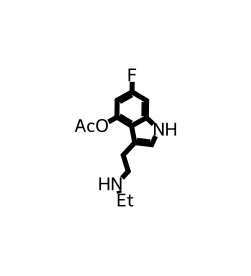 CCNCCc1c[nH]c2cc(F)cc(OC(C)=O)c12